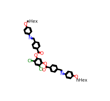 CCCCCCOc1ccc(/N=C/c2ccc(C(=O)Oc3cc(OC(=O)c4ccc(/C=N/c5ccc(OCCCCCC)cc5)cc4)c(Cl)cc3Cl)cc2)cc1